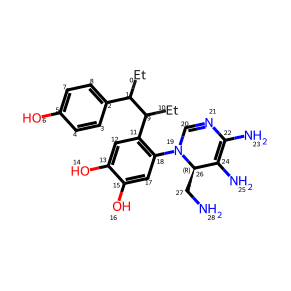 CCC(c1ccc(O)cc1)C(CC)c1cc(O)c(O)cc1N1C=NC(N)=C(N)[C@H]1CN